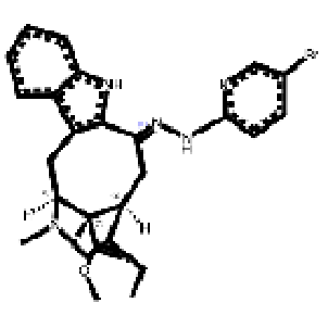 CCC1CN(C)[C@H]2Cc3c([nH]c4ccccc34)/C(=N/Nc3ccc(Br)cn3)C[C@@H]1[C@@H]2C(=O)OC